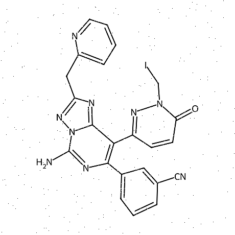 N#Cc1cccc(-c2nc(N)n3nc(Cc4ccccn4)nc3c2-c2ccc(=O)n(CI)n2)c1